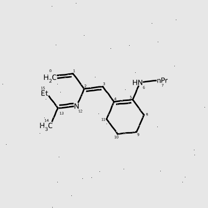 C=CC(=C/C1=C(NCCC)CCCC1)/N=C(/C)CC